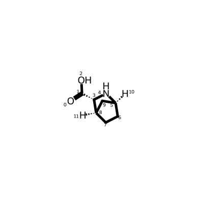 O=C(O)[C@@H]1N[C@H]2CC[C@@H]1C2